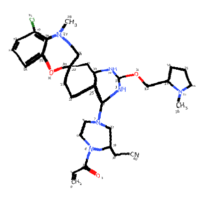 C=CC(=O)N1CCN(C2NC(OCC3CCCN3C)NC3C[C@]4(CCC32)CN(C)c2c(Cl)cccc2O4)CC1CC#N